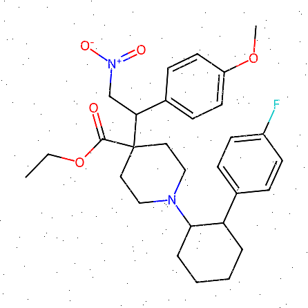 CCOC(=O)C1(C(C[N+](=O)[O-])c2ccc(OC)cc2)CCN(C2CCCCC2c2ccc(F)cc2)CC1